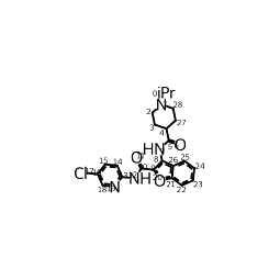 CC(C)N1CCC(C(=O)Nc2c(C(=O)Nc3ccc(Cl)cn3)oc3ccccc23)CC1